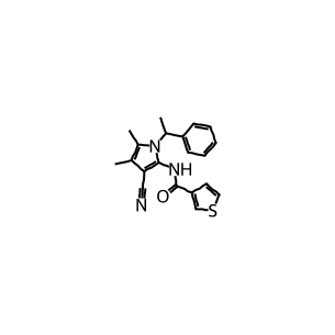 Cc1c(C#N)c(NC(=O)c2ccsc2)n(C(C)c2ccccc2)c1C